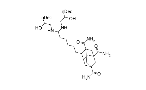 CCCCCCCCCCC(O)CNC(CCCCCC1C2CC3(C(N)=O)CC(C(N)=O)(C2)CC1(C(N)=O)C3)NCC(O)CCCCCCCCCC